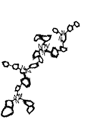 c1ccc(-c2ccc(-c3cc(-c4cccc(-c5cccc(-c6nc(-c7ccc8ccccc8c7)nc(-c7ccc8ccccc8c7)n6)c5)c4)nc(-c4ccc(-c5cccc6c(-c7nc(-c8cccc(-c9cccc(-c%10cc(-c%11ccc(-c%12ccccc%12)cc%11)nc(-c%11ccccc%11)n%10)c9)c8)nc(-c8cccc9ccccc89)n7)cccc56)cc4)n3)cc2)cc1